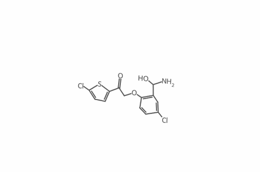 NC(O)c1cc(Cl)ccc1OCC(=O)c1ccc(Cl)s1